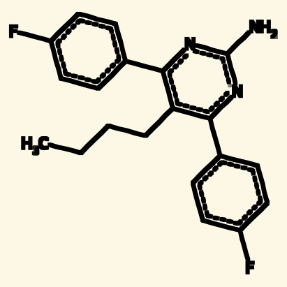 CCCCc1c(-c2ccc(F)cc2)nc(N)nc1-c1ccc(F)cc1